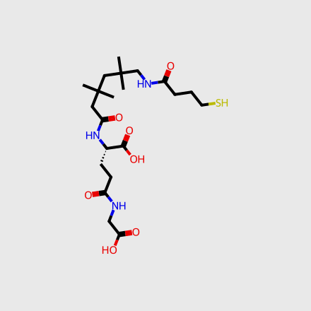 CC(C)(CNC(=O)CCCS)CC(C)(C)CC(=O)N[C@@H](CCC(=O)NCC(=O)O)C(=O)O